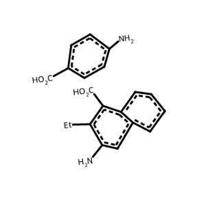 CCc1c(N)cc2ccccc2c1C(=O)O.Nc1ccc(C(=O)O)cc1